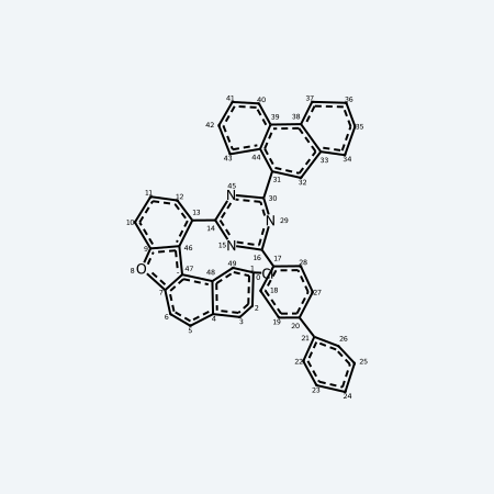 Clc1ccc2ccc3oc4cccc(-c5nc(-c6ccc(-c7ccccc7)cc6)nc(-c6cc7ccccc7c7ccccc67)n5)c4c3c2c1